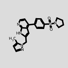 Cc1ccnn1Cc1cc2c(-c3ccc(S(=O)(=O)N4CCCC4)cc3)ccnc2[nH]1